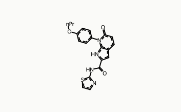 CCCOc1ccc(-n2c(=O)ccc3cc(C(=O)Nc4nccs4)[nH]c32)cc1